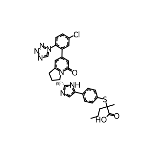 CCCC(C)(Sc1ccc(-c2cnc([C@@H]3CCc4cc(-c5cc(Cl)ccc5-n5cnnn5)cc(=O)n43)[nH]2)cc1)C(=O)O